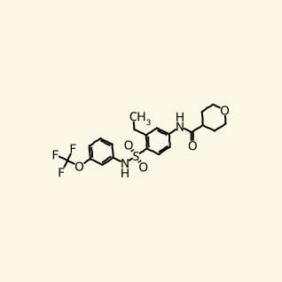 CCc1cc(NC(=O)C2CCOCC2)ccc1S(=O)(=O)Nc1cccc(OC(F)(F)F)c1